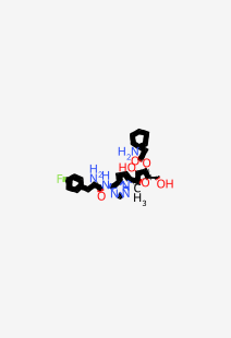 C[C@@]1(c2ccc3c(NC(=O)[C@@H](N)Cc4ccc(F)cc4)ncnn23)O[C@H](CO)[C@@H](OC(=O)CC2(N)CCCCC2)[C@H]1O